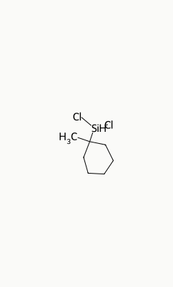 CC1([SiH](Cl)Cl)CCCCC1